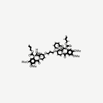 C=CCOC(=O)N1c2cc(OC)c(OC)cc2C(=O)N2CC[C@@H](OCCCO[C@@H]3CCN4C(=O)c5cc(OC)c(OC)cc5N(C(=O)OCC=C)C(OC5CCCCO5)[C@@H]4C3)C[C@H]2C1O